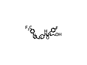 O=C(NC1CCN(Cc2ccn(-c3ccc(C(F)(F)F)cc3)c2)CC1)N(CCCO)Cc1ccc(F)cc1